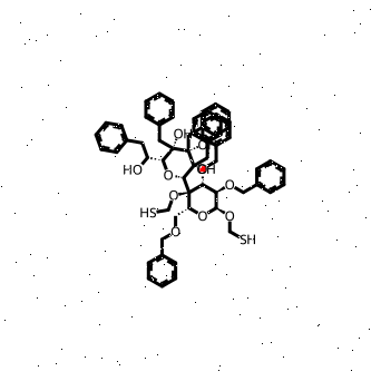 OC(Cc1ccccc1)[C@H]1O[C@@H]([C@]2(OCS)[C@H](OCc3ccccc3)[C@@H](OCc3ccccc3)[C@@H](OCS)O[C@@H]2COCc2ccccc2)[C@@](O)(Cc2ccccc2)[C@](O)(Cc2ccccc2)[C@]1(O)Cc1ccccc1